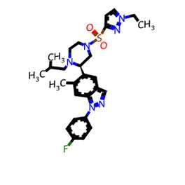 CCn1ccc(S(=O)(=O)N2CCN(CC(C)C)[C@H](c3cc4cnn(-c5ccc(F)cc5)c4cc3C)C2)n1